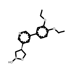 CCOc1ccc(-c2cncc([C@H]3COB(O)C3)c2)cc1OCC